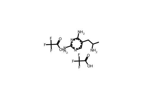 CC(N)Cc1cnc(N)nc1N.O=C(O)C(F)(F)F.O=C(O)C(F)(F)F